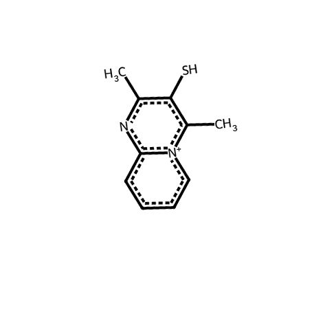 Cc1nc2cccc[n+]2c(C)c1S